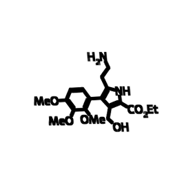 CCOC(=O)c1[nH]c(CCN)c(-c2ccc(OC)c(OC)c2OC)c1CO